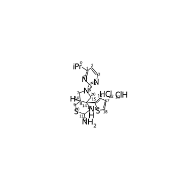 CC(C)c1ccnc(N2C[C@H]3CSC(N)N[C@@]3(c3cccs3)C2)n1.Cl.Cl